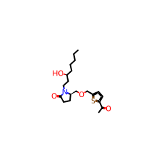 CCCCC[C@H](O)CCN1C(=O)CC[C@@H]1COCc1ccc(C(C)=O)s1